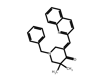 CC1(C)CN(Cc2ccccc2)CC(=Cc2ccc3ccccc3n2)C1=O